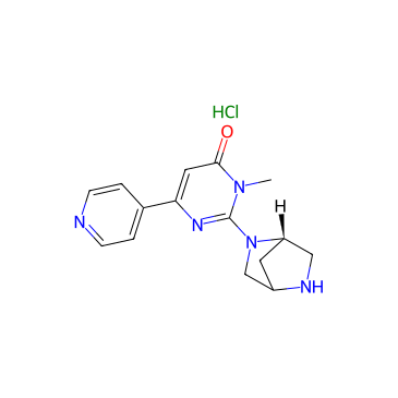 Cl.Cn1c(N2CC3C[C@H]2CN3)nc(-c2ccncc2)cc1=O